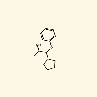 CC(O)C(Oc1ccccc1)C1CCCC1